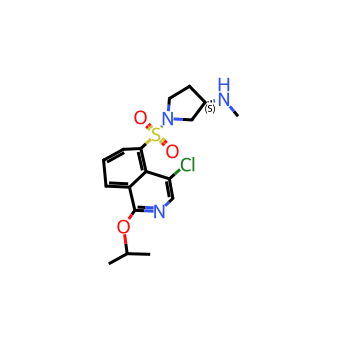 CN[C@H]1CCN(S(=O)(=O)c2cccc3c(OC(C)C)ncc(Cl)c23)C1